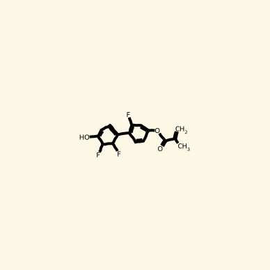 C=C(C)C(=O)Oc1ccc(C2=CC=C(O)C(F)C2F)c(F)c1